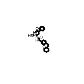 O=C(Cc1ccc2c(c1)OC1(CCCCC1)CC2)NC(Cc1coc2ccccc12)B(O)O